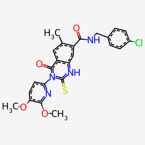 COc1ccc(-n2c(=S)[nH]c3cc(C(=O)NCc4ccc(Cl)cc4)c(C)cc3c2=O)nc1OC